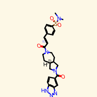 CN(C)S(=O)(=O)c1ccc(/C=C/C(=O)N2CCC3CN(C(=O)c4ccc5[nH]nnc5c4)C[C@H]3CC2)cc1